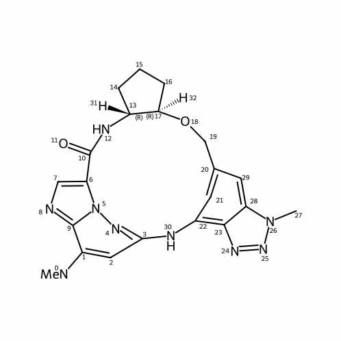 CNc1cc2nn3c(cnc13)C(=O)N[C@@H]1CCC[C@H]1OCc1cc(c3nnn(C)c3c1)N2